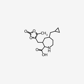 Cc1oc(=O)oc1CC1CC(CC2CC2)CCNC1C(=O)O